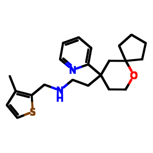 Cc1ccsc1CNCCC1(c2ccccn2)CCOC2(CCCC2)C1